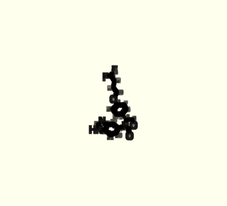 O=C1OC[C@H](c2ccc(OCCCC(F)F)cc2)N1c1ccc2[nH]cnc2c1